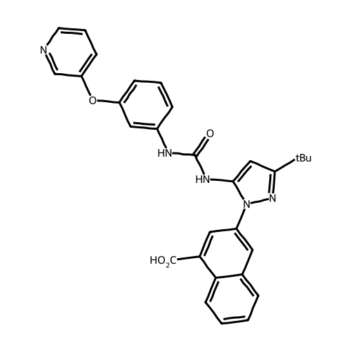 CC(C)(C)c1cc(NC(=O)Nc2cccc(Oc3cccnc3)c2)n(-c2cc(C(=O)O)c3ccccc3c2)n1